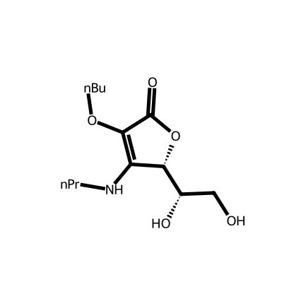 CCCCOC1=C(NCCC)[C@@H]([C@@H](O)CO)OC1=O